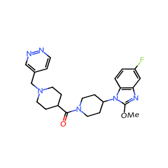 COc1nc2cc(F)ccc2n1C1CCN(C(=O)C2CCN(Cc3ccnnc3)CC2)CC1